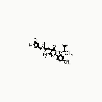 C=C(Nc1cc(C#N)ccc1-c1cc(=O)n(CC(=O)NCC2CNC(=O)C2)c(C)n1)C1CC1